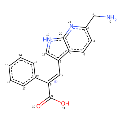 NCc1ccc2c(/C=C(/C(=O)O)c3ccccc3)c[nH]c2n1